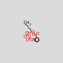 CCCCCCOOC(=O)c1ccccc1.O=C(O)OC(=O)O